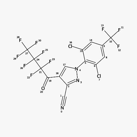 N#Cc1nn(-c2c(Cl)cc(C(F)(F)F)cc2Cl)cc1C(=O)C(F)(F)C(F)(F)C(F)(F)F